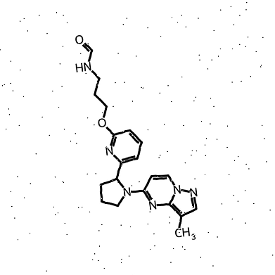 Cc1cnn2ccc(N3CCCC3c3cccc(OCCCNC=O)n3)nc12